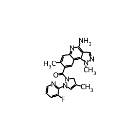 CC1=CN(c2ncccc2F)N(C(=O)c2cc3c(cc2C)nc(N)c2cnn(C)c23)C1